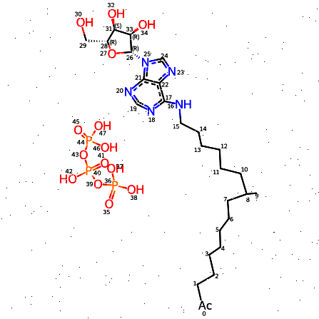 CC(=O)CCCCCCCC(C)CCCCCCNc1ncnc2c1ncn2[C@@H]1O[C@H](CO)[C@@H](O)[C@H]1O.O=P(O)(O)OP(=O)(O)OP(=O)(O)O